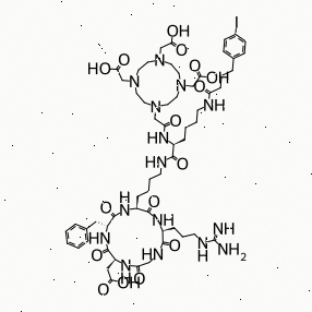 N=C(N)NCCC[C@@H]1NC(=O)[C@H](CCCCNC(=O)[C@H](CCCCNC(=O)CCCc2ccc(I)cc2)NC(=O)CN2CCN(CC(=O)O)CCN(CC(=O)O)CCN(CC(=O)O)CC2)NC(=O)[C@@H](Cc2ccccc2)NC(=O)[C@H](CC(=O)O)NC(=O)CNC1=O